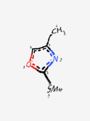 CSc1nc(C)co1